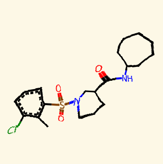 Cc1c(Cl)cccc1S(=O)(=O)N1CCCC(C(=O)NC2CCCCCC2)C1